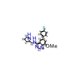 COc1cc(-c2ccc(F)cc2)cc2c(NCC3CCCN3)ncnc12